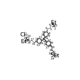 CC[Si](C)(C)CCCc1ccc([S+](c2ccc(CCC[Si](C)(C)CC)cc2)c2ccc(CCC[Si](C)(C)CC)cc2)cc1.[Cl-]